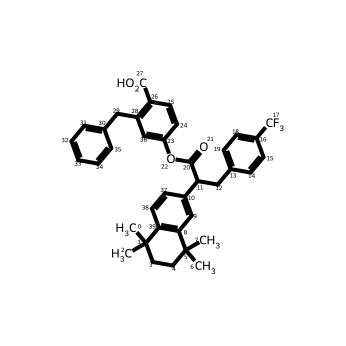 CC1(C)CCC(C)(C)c2cc(C(Cc3ccc(C(F)(F)F)cc3)C(=O)Oc3ccc(C(=O)O)c(Cc4ccccc4)c3)ccc21